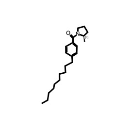 CCCCCCCCCCc1ccc(C(=O)N2CCC[C@H]2C)cc1